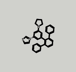 c1ccc(-c2cccc(-c3ccccc3)c2-c2cc(N3CCCC3)cc(-[n+]3ccsc3)c2)cc1